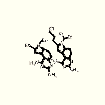 CCC(CC)n1c(CCCCl)cc2c3c(N)nc(N)nc3ccc21.CCc1cc2c3c(N)nc(N)nc3ccc2n1C(C)CC